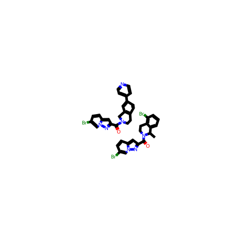 CC1c2cccc(Br)c2CCN1C(=O)c1cc2ccc(Br)cn2n1.O=C(c1cc2ccc(Br)cn2n1)N1CCc2ccc(-c3ccncc3)cc2C1